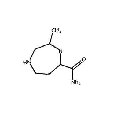 CC1CNCCC(C(N)=O)[N]1